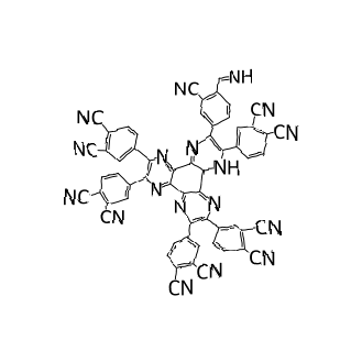 N#Cc1ccc(C2=C(c3ccc(C=N)c(C#N)c3)N=C3c4nc(-c5ccc(C#N)c(C#N)c5)c(-c5ccc(C#N)c(C#N)c5)nc4-c4nc(-c5ccc(C#N)c(C#N)c5)c(-c5ccc(C#N)c(C#N)c5)nc4C3N2)cc1C#N